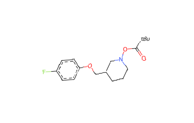 CC(C)(C)C(=O)ON1CCCC(COc2ccc(F)cc2)C1